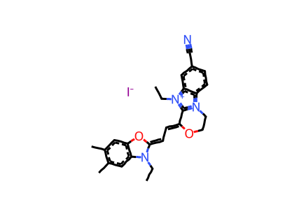 CCN1C(=CC=C2OCCn3c2[n+](CC)c2cc(C#N)ccc23)Oc2cc(C)c(C)cc21.[I-]